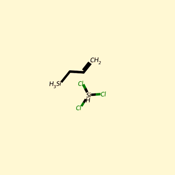 C=CC[SiH3].Cl[SiH](Cl)Cl